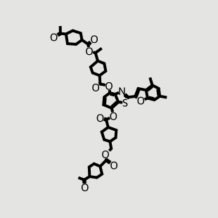 CC(=O)C1CCC(C(=O)OCC2CCC(C(=O)Oc3ccc(OC(=O)C4CCC(C(C)OC(=O)C5CCC(C(C)=O)CC5)CC4)c4nc(-c5cc6c(C)cc(C)cc6o5)sc34)CC2)CC1